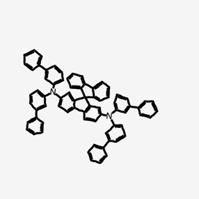 c1ccc(-c2cccc(N(c3cccc(-c4ccccc4)c3)c3ccc4c(c3)C3(c5ccccc5-c5ccccc53)c3cc(N(c5cccc(-c6ccccc6)c5)c5cccc(-c6ccccc6)c5)ccc3-4)c2)cc1